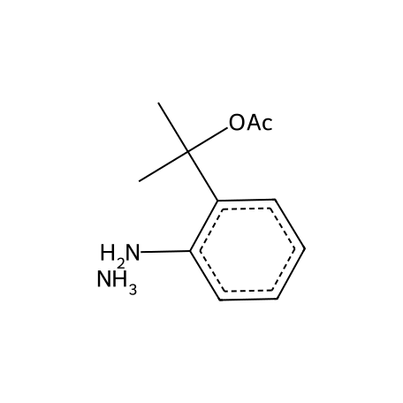 CC(=O)OC(C)(C)c1ccccc1N.N